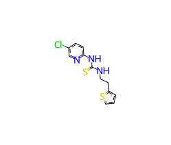 S=C(NCCc1cccs1)Nc1ccc(Cl)cn1